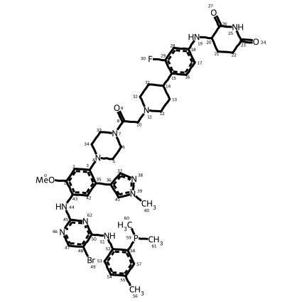 COc1cc(N2CCN(C(=O)CN3CCC(c4ccc(NC5CCC(=O)NC5=O)cc4F)CC3)CC2)c(-c2cnn(C)c2)cc1Nc1ncc(Br)c(Nc2ccc(C)cc2P(C)C)n1